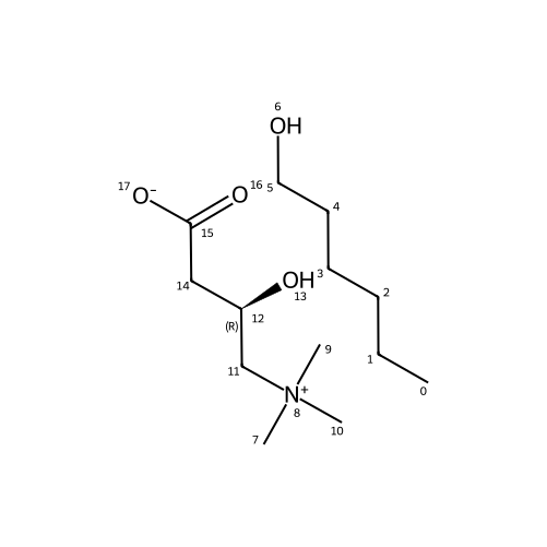 CCCCCCO.C[N+](C)(C)C[C@H](O)CC(=O)[O-]